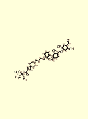 Cc1c(COc2cc(O)c(C=O)cc2Cl)cccc1-c1cccc(OCCCN2CCC3(CC2)CN(C(=O)OC(C)(C)C)C3)c1C